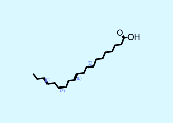 CC/C=C/C/C=C\C/C=C/C/C=C/CCCCCCC(=O)O